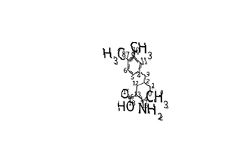 CCC(Cc1ccc(C)c(C)c1)CC(CN)C(=O)O